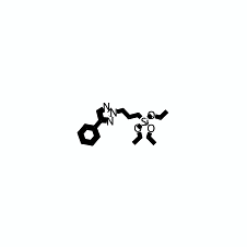 CCO[Si](CCCn1ncc(-c2ccccc2)n1)(OCC)OCC